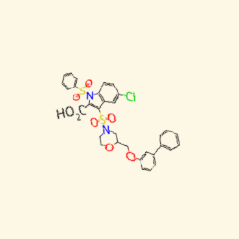 O=C(O)c1c(S(=O)(=O)N2CCOC(COc3cccc(-c4ccccc4)c3)C2)c2cc(Cl)ccc2n1S(=O)(=O)c1ccccc1